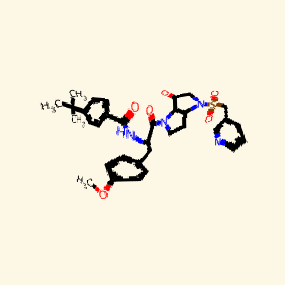 COc1ccc(CC(NC(=O)c2ccc(C(C)(C)C)cc2)C(=O)N2CCC3C2C(=O)CN3S(=O)(=O)Cc2cccnc2)cc1